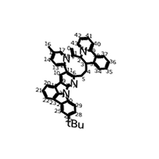 C=C1C2C(CCc3nc4c(cc3-c3ccc(C)c[n+]31)c1cccc3c5cc(C(C)(C)C)ccc5n4c31)c1ccccc1-c1cccc[n+]12